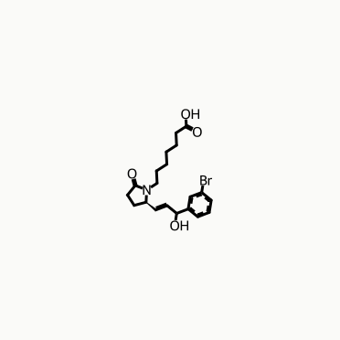 O=C(O)CCCCCCN1C(=O)CC[C@@H]1/C=C/C(O)c1cccc(Br)c1